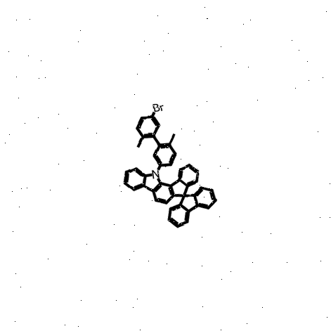 Cc1ccc(Br)cc1-c1cc(-n2c3ccccc3c3ccc4c(c32)-c2ccccc2C42c3ccccc3-c3ccccc32)ccc1C